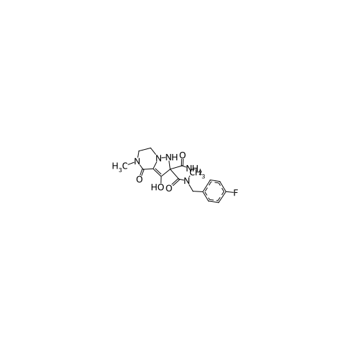 CN1CCN2NC(C(N)=O)(C(=O)N(C)Cc3ccc(F)cc3)C(O)=C2C1=O